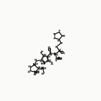 CCCCN(C(=O)CCC1CCCC1)C(=O)c1c(C)sc(CN2CCN/C2=N\C)c1C